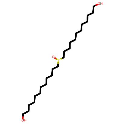 [O-][S+](CCCCCCCCCCCCO)CCCCCCCCCCCCO